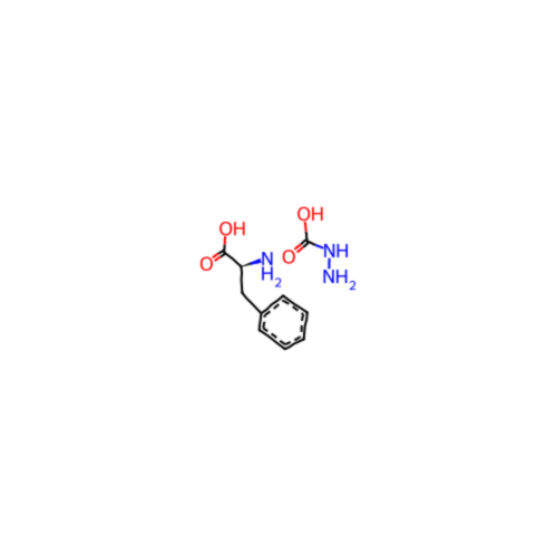 NNC(=O)O.N[C@@H](Cc1ccccc1)C(=O)O